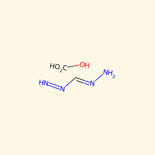 N=NC=NN.O=C(O)O